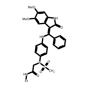 CCNC(=O)CN(c1ccc(NC(=C2C(=O)Nc3cc(OC)c(OC)cc32)c2ccccc2)cc1)S(C)(=O)=O